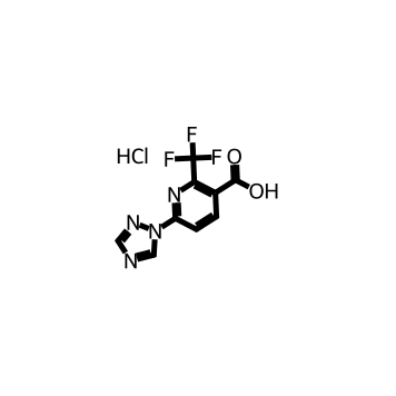 Cl.O=C(O)c1ccc(-n2cncn2)nc1C(F)(F)F